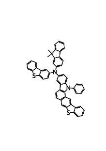 CC1(C)c2ccccc2-c2ccc(N(c3ccc4sc5ccccc5c4c3)c3ccc4c(c3)c3ccc5cc6sc7ccccc7c6cc5c3n4-c3ccccc3)cc21